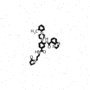 Cc1ccccc1N1CCN(c2ccc(C(=O)NCCCN3CCCC3=O)cc2NC(=O)c2cccc3nccnc23)CC1